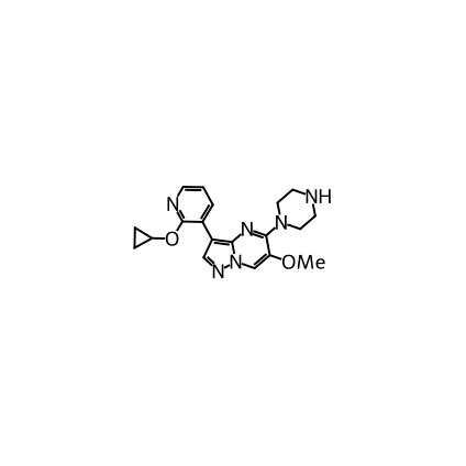 COc1cn2ncc(-c3cccnc3OC3CC3)c2nc1N1CCNCC1